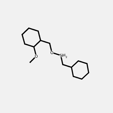 COC1CCCCC1CO[SiH2]CC1CCCCC1